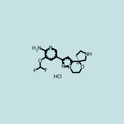 Cl.Nc1ncc(-c2cc3n(n2)CCO[C@@]32CCNC2)cc1OC(F)F